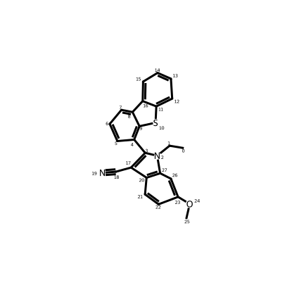 CCn1c(-c2cccc3c2sc2ccccc23)c(C#N)c2ccc(OC)cc21